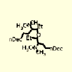 CCCCCCCCCCCCC(C(CC)OC(CC)C(CCCCCCCCCCCC)N(C)C)N(C)C